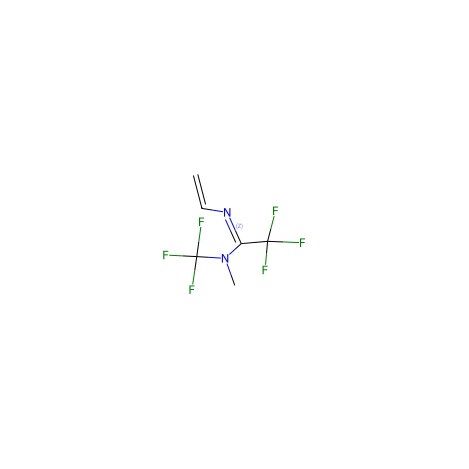 C=C/N=C(\N(C)C(F)(F)F)C(F)(F)F